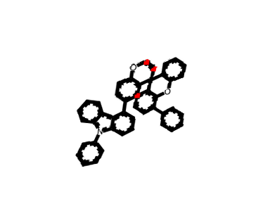 c1ccc(-c2cccc3c2Oc2ccccc2C32c3ccccc3Oc3ccc(-c4cccc5c4c4ccccc4n5-c4ccccc4)cc32)cc1